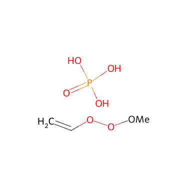 C=COOOC.O=P(O)(O)O